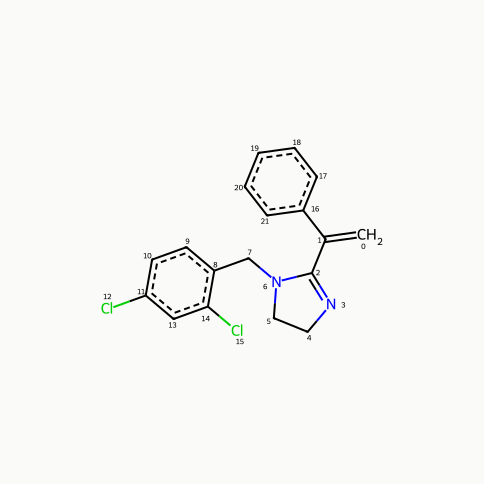 C=C(C1=NCCN1Cc1ccc(Cl)cc1Cl)c1ccccc1